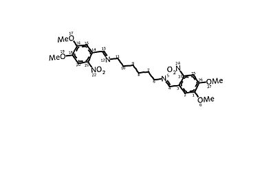 COc1cc(C=NCCCCCCN=Cc2cc(OC)c(OC)cc2[N+](=O)[O-])c([N+](=O)[O-])cc1OC